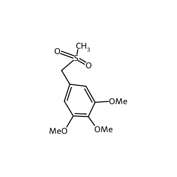 COc1cc(CS(C)(=O)=O)cc(OC)c1OC